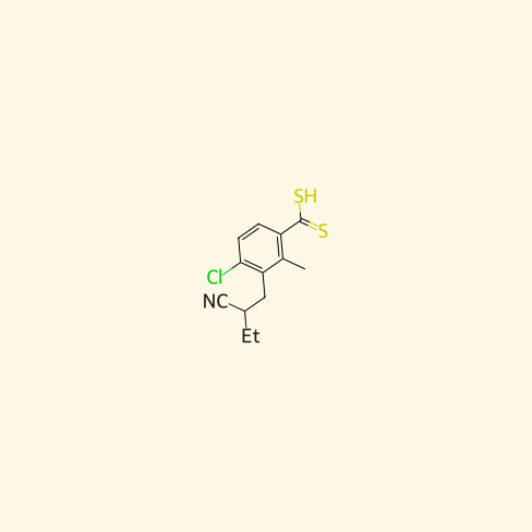 CCC(C#N)Cc1c(Cl)ccc(C(=S)S)c1C